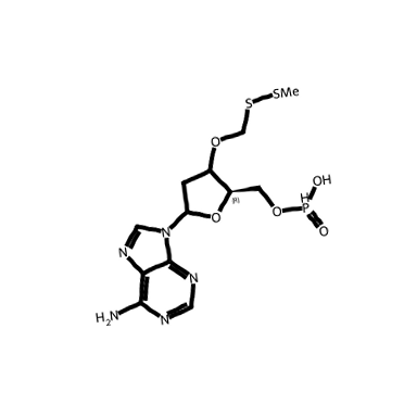 CSSCOC1CC(n2cnc3c(N)ncnc32)O[C@@H]1CO[PH](=O)O